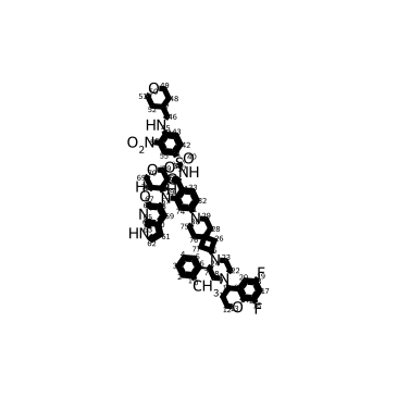 Cc1ccccc1[C@@H]1CN([C@@H]2CCOc3c(F)cc(F)cc32)CCN1C1CC2(CCN(c3ccc(C(=O)NS(=O)(=O)c4ccc(NCC5CCOCC5)c([N+](=O)[O-])c4)c(N4c5cc6cc[nH]c6nc5O[C@H]5COCC[C@@H]54)c3)CC2)C1